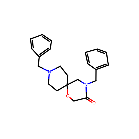 O=C1COC2(CCN(Cc3ccccc3)CC2)CN1Cc1ccccc1